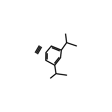 C#C.CC(C)c1cccc(C(C)C)c1